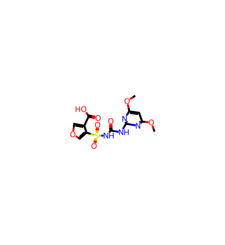 COc1cc(OC)nc(NC(=O)NS(=O)(=O)c2cocc2C(=O)O)n1